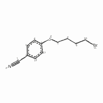 N#Cc1ccc(SCCCCBr)cc1